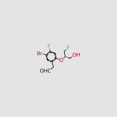 O=CCc1cc(Br)c(F)cc1O[C@H](CO)CF